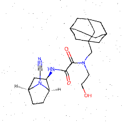 N#CN1[C@H]2CC[C@@H]1[C@H](NC(=O)C(=O)N(CCO)CC13CC4CC(CC(C4)C1)C3)C2